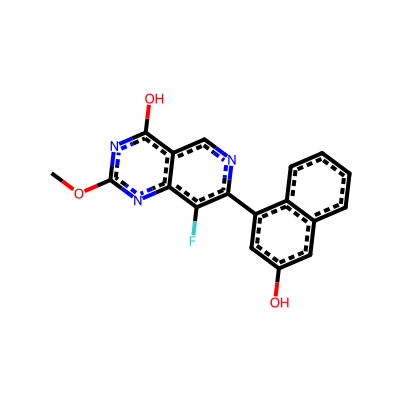 COc1nc(O)c2cnc(-c3cc(O)cc4ccccc34)c(F)c2n1